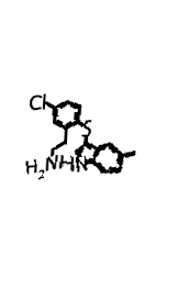 Cc1ccc2[nH]cc(Sc3ccc(Cl)cc3CCN)c2c1